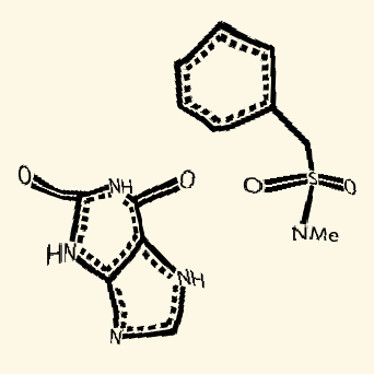 CNS(=O)(=O)Cc1ccccc1.O=c1[nH]c(=O)c2[nH]cnc2[nH]1